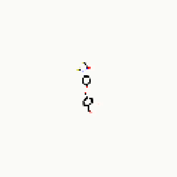 C=C1SC(=S)N(c2ccc(OCc3ccc(C(C)=O)c(O)c3)cc2)C1=O